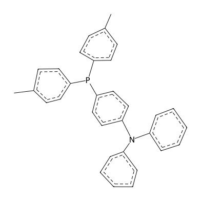 Cc1ccc(P(c2ccc(C)cc2)c2ccc(N(c3ccccc3)c3ccccc3)cc2)cc1